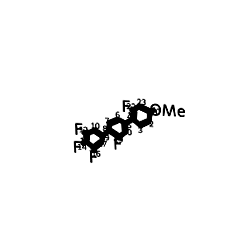 COc1ccc(-c2ccc(-c3cc(F)c(F)c(F)c3)c(F)c2)c(F)c1